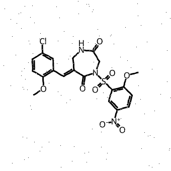 COc1ccc(Cl)cc1C=C1CNC(=O)CN(S(=O)(=O)c2cc([N+](=O)[O-])ccc2OC)C1=O